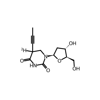 [2H]C1(C#CC)CN([C@H]2C[C@H](O)[C@@H](CO)O2)C(=O)NC1=O